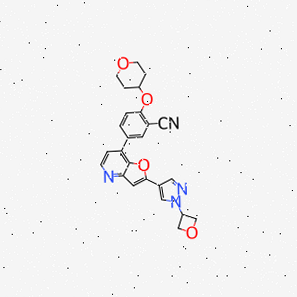 N#Cc1cc(-c2ccnc3cc(-c4cnn(C5COC5)c4)oc23)ccc1OC1CCOCC1